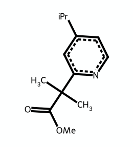 COC(=O)C(C)(C)c1cc(C(C)C)ccn1